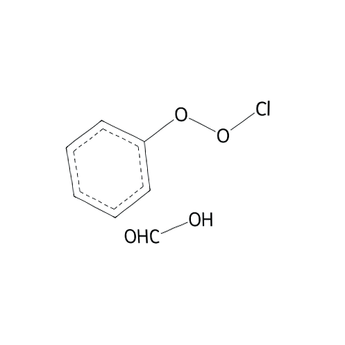 ClOOc1ccccc1.O=CO